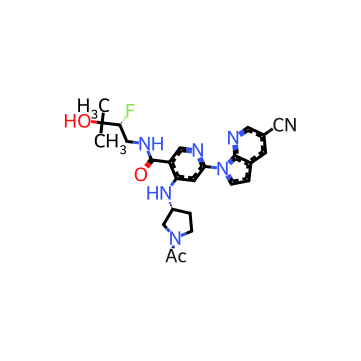 CC(=O)N1CC[C@@H](Nc2cc(-n3ccc4cc(C#N)cnc43)ncc2C(=O)NC[C@@H](F)C(C)(C)O)C1